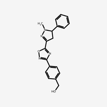 CN1N=C(c2nc(-c3ccc(CO)cc3)no2)CC1c1ccccc1